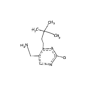 [CH2]C(C)(C)Cc1nc(Cl)ncc1CN